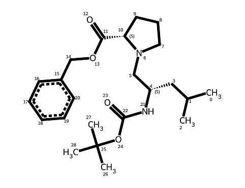 CC(C)C[C@@H](CN1CCC[C@H]1C(=O)OCc1ccccc1)NC(=O)OC(C)(C)C